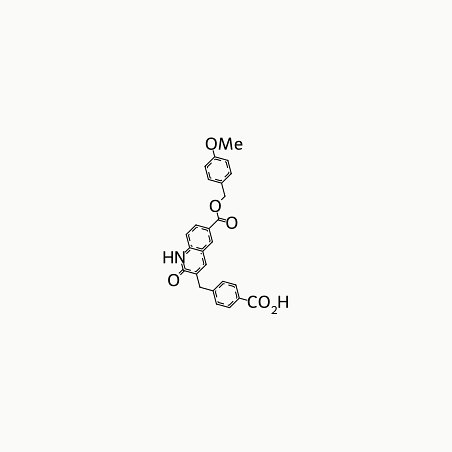 COc1ccc(COC(=O)c2ccc3[nH]c(=O)c(Cc4ccc(C(=O)O)cc4)cc3c2)cc1